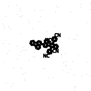 N#Cc1ccc(-c2c3c(c(-c4ccc(C#N)cc4C#N)c4ccccc24)-c2ccc(-c4ccc5c6c(cccc46)-c4ccccc4-5)c4cccc-3c24)c(C#N)c1